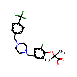 CC(C)(Oc1ccc(CN2CCN(Cc3ccc(C(F)(F)F)cc3)CC2)cc1F)C(=O)O